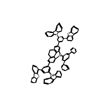 c1ccc(-c2cc(-c3ccccc3)cc(-n3c4cc(-c5cc(-c6cccc7c6sc6ccccc67)cc(-n6c7ccccc7c7ccccc76)c5)cc5c4c4c(cc(-c6cc(-c7cccc8c7sc7ccccc78)cc(-n7c8ccccc8c8ccccc87)c6)cc43)CC5)c2)cc1